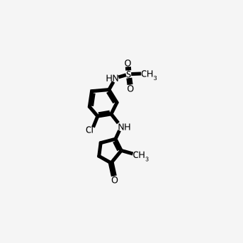 CC1=C(Nc2cc(NS(C)(=O)=O)ccc2Cl)CCC1=O